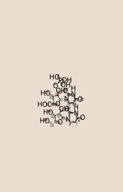 O=P(O)(O)O.O=c1ccn([C@@H]2O[C@H](CO)[C@@H](O)[C@H]2O)c(=O)[nH]1.O=c1ccn([C@@H]2O[C@H](CO)[C@@H](O)[C@H]2O)c(=O)[nH]1